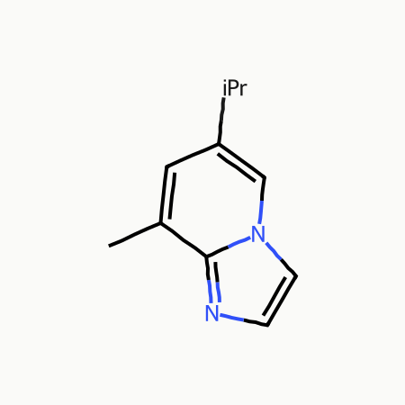 Cc1cc(C(C)C)cn2ccnc12